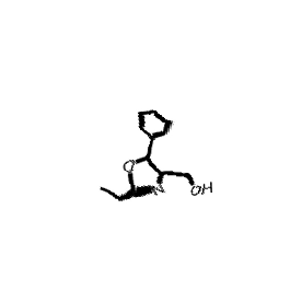 CCC1=NC(CO)C(c2ccccc2)O1